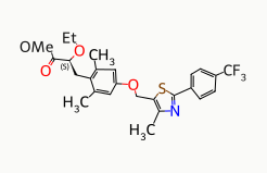 CCO[C@@H](Cc1c(C)cc(OCc2sc(-c3ccc(C(F)(F)F)cc3)nc2C)cc1C)C(=O)OC